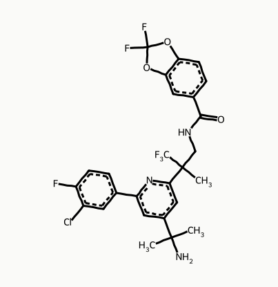 CC(C)(N)c1cc(-c2ccc(F)c(Cl)c2)nc(C(C)(CNC(=O)c2ccc3c(c2)OC(F)(F)O3)C(F)(F)F)c1